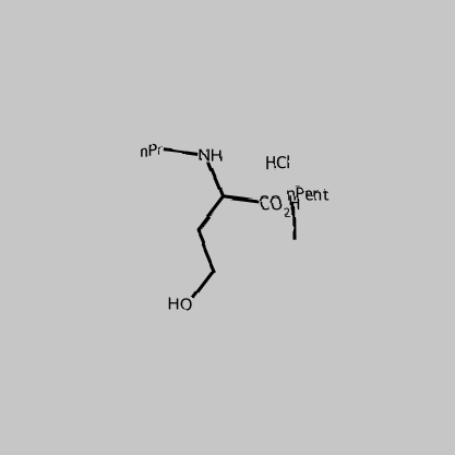 CCCCCC.CCCNC(CCO)C(=O)O.Cl